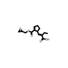 CCC(=CC1CCC=C1C(=O)OCC1CO1)C(=O)O